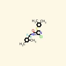 Cc1ccc(C(F)(F)CNC(=O)c2cc(Cl)ncc2Sc2ccc(C)c(C)c2)c(C)c1